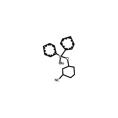 CC(C)(C)[Si](OC1CCCC(C#N)C1)(c1ccccc1)c1ccccc1